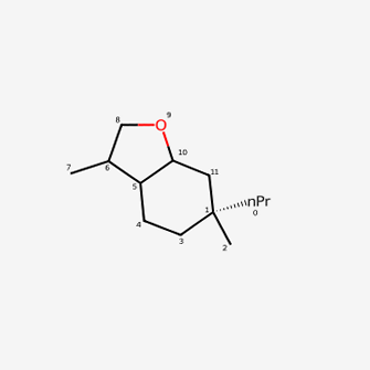 CCC[C@]1(C)CCC2C(C)COC2C1